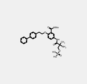 CNC(=O)c1cc(NC(=O)C(C)(N)COP(=O)(O)O)ccc1OCCc1ccc(-c2ccccc2)cc1